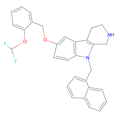 FC(F)Oc1ccccc1COc1ccc2c(c1)c1c(n2Cc2cccc3ccccc23)CNCC1